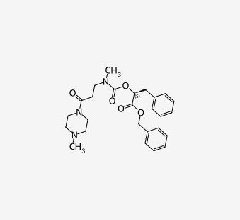 CN1CCN(C(=O)CCN(C)C(=O)O[C@@H](Cc2ccccc2)C(=O)OCc2ccccc2)CC1